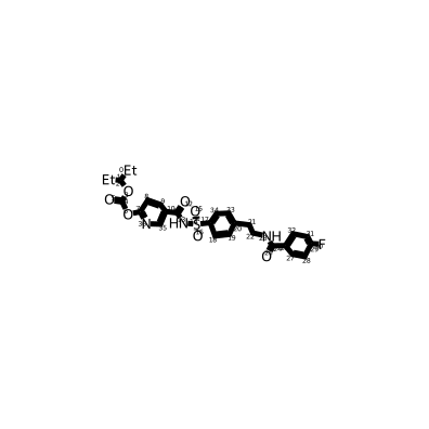 CCC(CC)OC(=O)Oc1ccc(C(=O)NS(=O)(=O)c2ccc(CCNC(=O)c3ccc(F)cc3)cc2)cn1